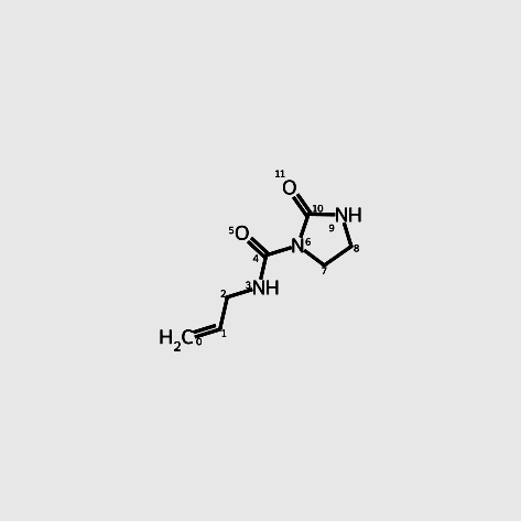 C=CCNC(=O)N1CCNC1=O